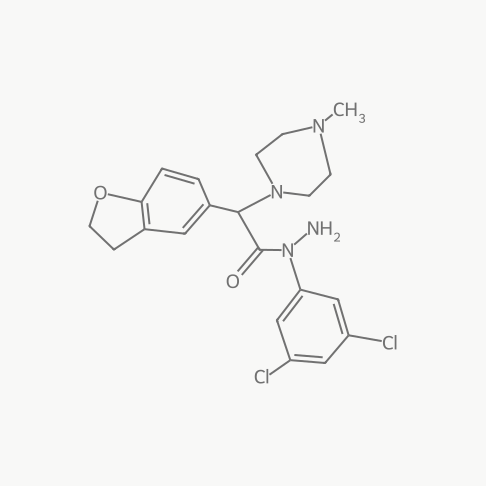 CN1CCN(C(C(=O)N(N)c2cc(Cl)cc(Cl)c2)c2ccc3c(c2)CCO3)CC1